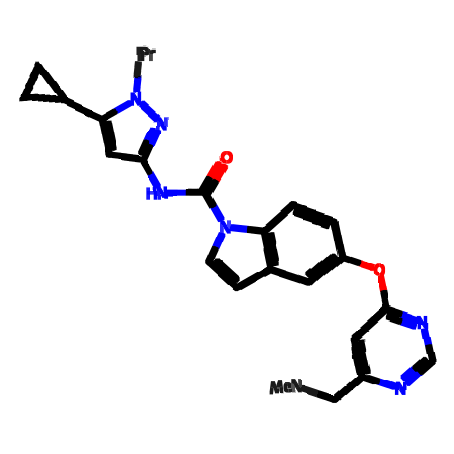 CNCc1cc(Oc2ccc3c(ccn3C(=O)Nc3cc(C4CC4)n(C(C)C)n3)c2)ncn1